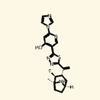 C=C(c1nnc(-c2cnc(-n3ccnc3)cc2O)s1)[C@@H]1C[C@H]2CC[C@](C)(N2)[C@H]1F